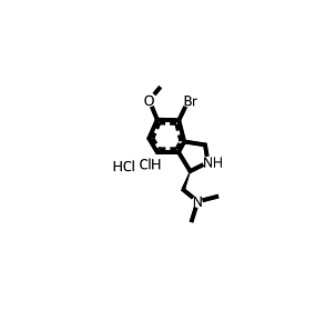 COc1ccc2c(c1Br)CN[C@H]2CN(C)C.Cl.Cl